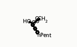 C=CC(=O)OCCOc1cc(-c2ccc(C3CCC(CCCCC)CC3)cc2)ccc1CCO